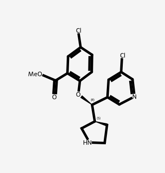 COC(=O)c1cc(Cl)ccc1O[C@@H](c1cncc(Cl)c1)[C@H]1CCNC1